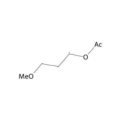 COCC[CH]OC(C)=O